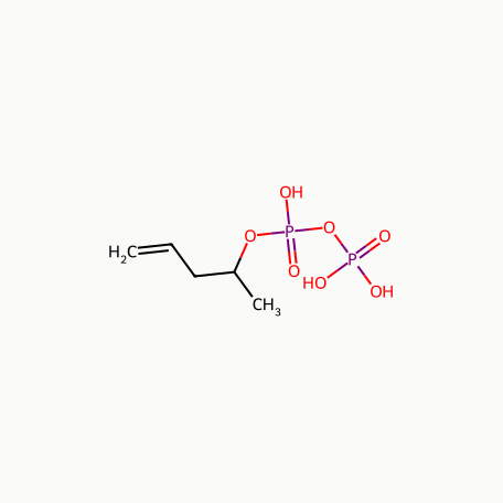 C=CCC(C)OP(=O)(O)OP(=O)(O)O